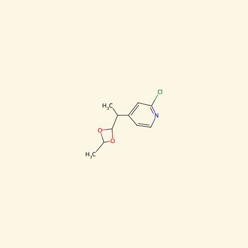 CC1OC(C(C)c2ccnc(Cl)c2)O1